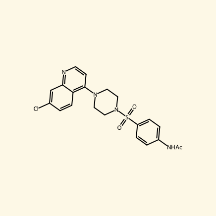 CC(=O)Nc1ccc(S(=O)(=O)N2CCN(c3ccnc4cc(Cl)ccc34)CC2)cc1